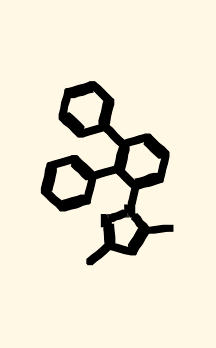 Cc1cc(C)n(-c2cccc(-c3ccccc3)c2-c2ccccc2)n1